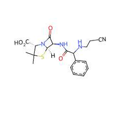 CC1(C)S[C@@H]2[C@H](NC(=O)C(NCCC#N)c3ccccc3)C(=O)N2[C@H]1C(=O)O